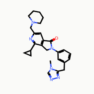 Cn1cnnc1Cc1cccc(N2Cc3c(cc(CN4CCCCC4)nc3C3CC3)C2=O)c1